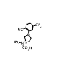 CC(C)(C)N(C(=O)O)[C@H]1CCN(c2cc(C(F)(F)F)ccc2C#N)C1